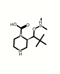 C[SiH](C)OC([C@H]1CNCCN1C(=O)O)C(C)(C)C